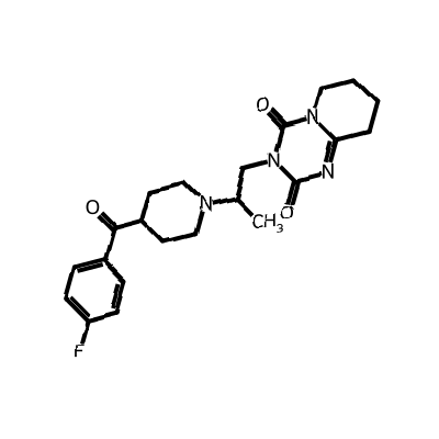 CC(Cn1c(=O)nc2n(c1=O)CCCC2)N1CCC(C(=O)c2ccc(F)cc2)CC1